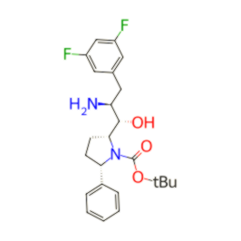 CC(C)(C)OC(=O)N1[C@@H]([C@@H](O)[C@@H](N)Cc2cc(F)cc(F)c2)CC[C@H]1c1ccccc1